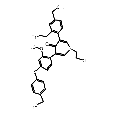 CCc1ccc(Sc2ccc(-c3cn(CCCl)cc(-c4ccc(CC)cc4CC)c3=O)c(OC)c2)cc1